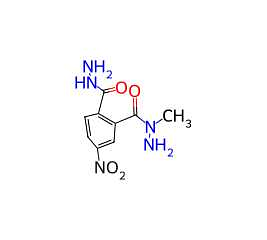 CN(N)C(=O)c1cc([N+](=O)[O-])ccc1C(=O)NN